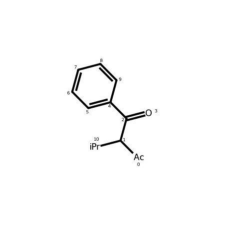 CC(=O)C(C(=O)c1ccccc1)C(C)C